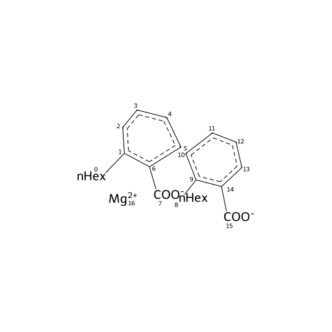 CCCCCCc1ccccc1C(=O)[O-].CCCCCCc1ccccc1C(=O)[O-].[Mg+2]